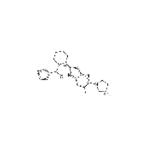 Cc1cn2nc([C@@H]3CCCCN3C(=O)c3ccsc3)cc2nc1N1CC[C@H](C)C1